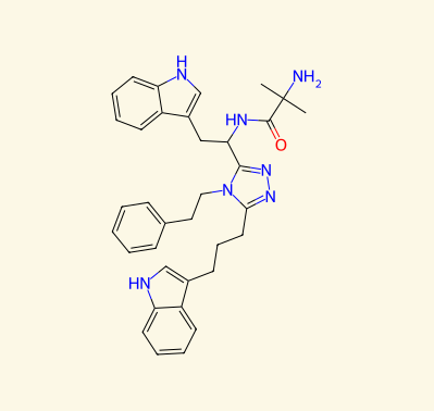 CC(C)(N)C(=O)NC(Cc1c[nH]c2ccccc12)c1nnc(CCCc2c[nH]c3ccccc23)n1CCc1ccccc1